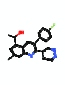 Cc1cc(C(C)O)c2cc(-c3ccc(F)cc3)c(-c3ccnnc3)nc2c1